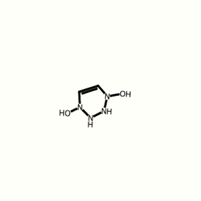 On1ccn(O)[nH][nH]1